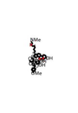 CNCCN(C)C[C@H](C)CCC[C@@H](C)[C@H]1[C@@H](O[C@@H]2OC[C@H](O)[C@H](O[C@@H]3OC[C@@H](O)[C@H](O)[C@H]3OC(=O)c3ccc(OC)cc3)[C@H]2OC(C)=O)CC2C3CC[C@H]4C[C@@H](O)CC[C@]4(C)C3CC[C@@]21C